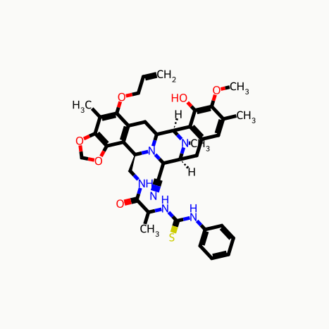 C=CCOc1c(C)c2c(c3c1CC1[C@H]4c5c(cc(C)c(OC)c5O)C[C@@H](C(C#N)N1[C@H]3CNC(=O)C(C)NC(=S)Nc1ccccc1)N4C)OCO2